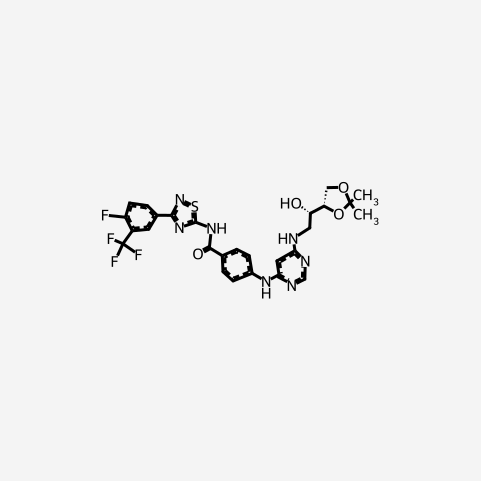 CC1(C)OC[C@@H]([C@@H](O)CNc2cc(Nc3ccc(C(=O)Nc4nc(-c5ccc(F)c(C(F)(F)F)c5)ns4)cc3)ncn2)O1